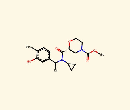 CCC(c1ccc(OC)c(O)c1)N(C(=O)[C@H]1CN(C(=O)OC(C)(C)C)CCO1)C1CC1